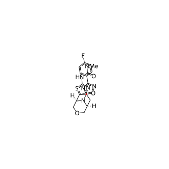 CNC(=O)Nc1nc2c(s1)[C@@H]1COC[C@H](C2)N1c1nc(-c2ccc(F)cc2)no1